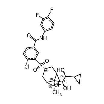 C[C@H]1CC2C[C@@H](S(=O)(=O)c3cc(C(=O)Nc4ccc(F)c(F)c4)ccc3Cl)CC1[C@@]2(O)[C@H](O)[C@@H](O)C1CC1